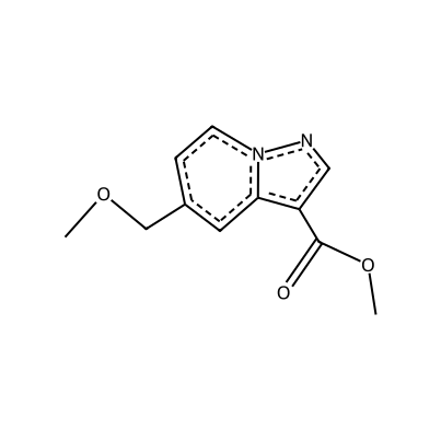 COCc1ccn2ncc(C(=O)OC)c2c1